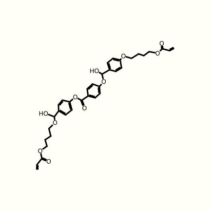 C=CC(=O)OCCCCOc1ccc(C(O)Oc2ccc(C(=O)Oc3ccc(C(O)OCCCCOC(=O)C=C)cc3)cc2)cc1